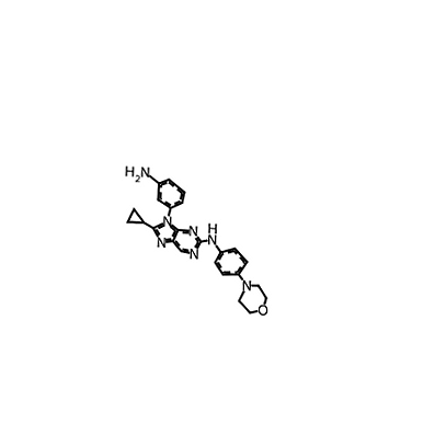 Nc1cccc(-n2c(C3CC3)nc3cnc(Nc4ccc(N5CCOCC5)cc4)nc32)c1